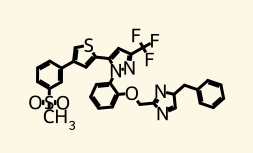 CS(=O)(=O)c1cccc(-c2csc(-c3cc(C(F)(F)F)nn3-c3ccccc3OCC3=NC(Cc4ccccc4)C=N3)c2)c1